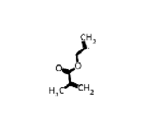 C=[C]COC(=O)C(=C)C